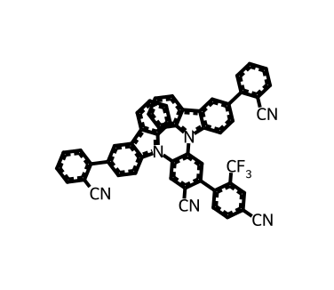 N#Cc1ccc(-c2cc(-n3c4ccccc4c4cc(-c5ccccc5C#N)ccc43)c(-n3c4ccccc4c4cc(-c5ccccc5C#N)ccc43)cc2C#N)c(C(F)(F)F)c1